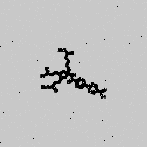 CSC(=O)CCOCC(COCCC(=O)SC)(COCCC(=O)C(C)C)NC(=O)c1ccc(-c2ccc(C(=O)C(C)C)cn2)cn1